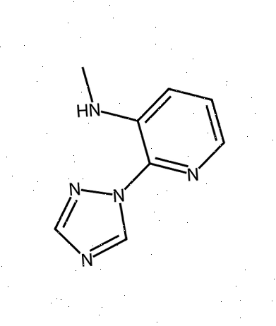 CNc1cccnc1-n1cncn1